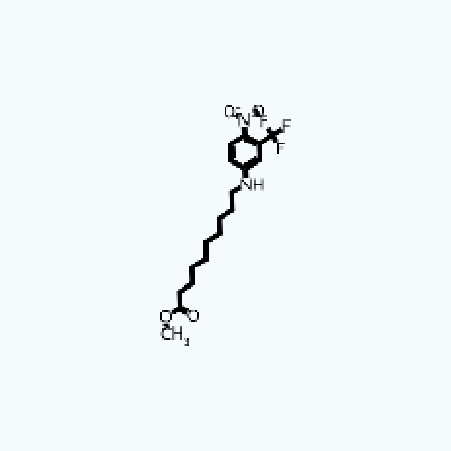 COC(=O)CCCCCCCCCNc1ccc([N+](=O)[O-])c(C(F)(F)F)c1